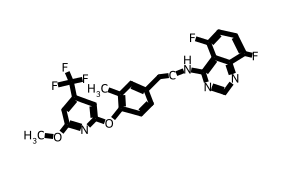 COc1cc(C(F)(F)F)cc(Oc2ccc(CCNc3ncnc4c(F)ccc(F)c34)cc2C)n1